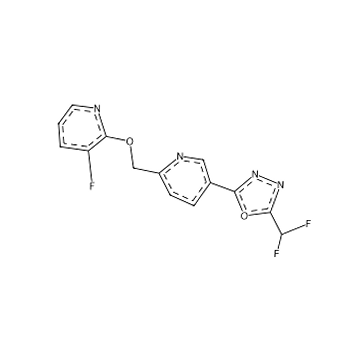 Fc1cccnc1OCc1ccc(-c2nnc(C(F)F)o2)cn1